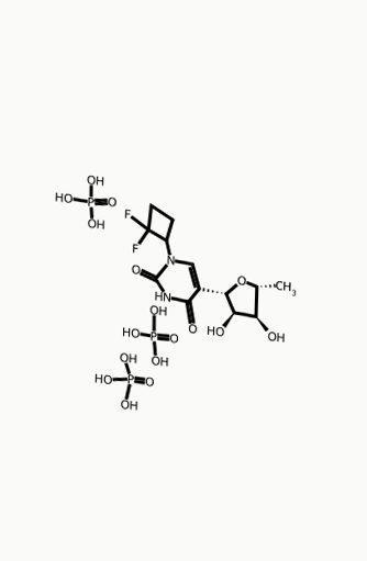 C[C@H]1O[C@@H](c2cn(C3CCC3(F)F)c(=O)[nH]c2=O)[C@H](O)[C@@H]1O.O=P(O)(O)O.O=P(O)(O)O.O=P(O)(O)O